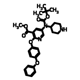 COC(=O)c1cc(N(C(=O)OC(C)(C)C)C2CCNCC2)cnc1Oc1ccc(Oc2ccccc2)cc1